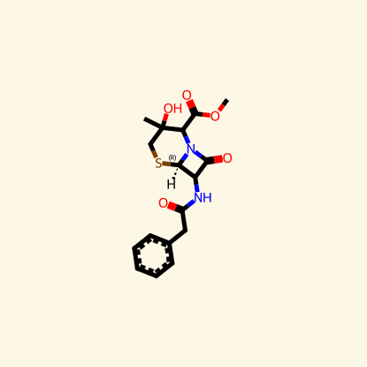 COC(=O)C1N2C(=O)C(NC(=O)Cc3ccccc3)[C@H]2SCC1(C)O